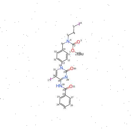 CC(C)(C)OC(=O)N(CCCI)Cc1ccc(-n2cc(I)c(NC(=O)c3ccccc3)nc2=O)cc1